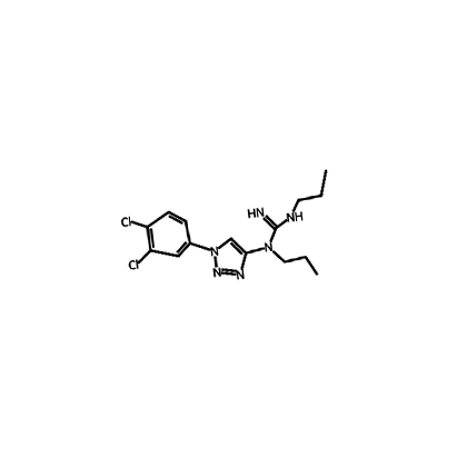 CCCNC(=N)N(CCC)c1cn(-c2ccc(Cl)c(Cl)c2)nn1